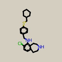 Clc1ccc2c(c1NCc1ccc(SCC3CCCCC3)cc1)CCNCC2